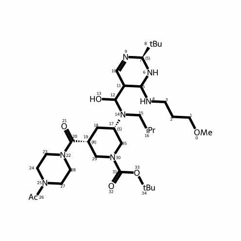 COCCCNC1N[C@H](C(C)(C)C)N=CC1C(O)N(CC(C)C)[C@H]1C[C@@H](C(=O)N2CCN(C(C)=O)CC2)CN(C(=O)OC(C)(C)C)C1